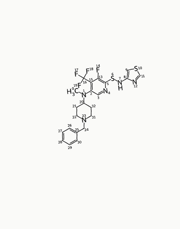 CN(c1cnc(SNc2cscn2)c(F)c1C(F)(F)F)C1CCN(Cc2ccccc2)CC1